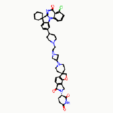 O=C1CC[C@H](N2Cc3c(ccc4c3OCC43CCN(C4CN(CCN5CCC(c6ccc7c(c6)-n6c(nc(=O)c8c(Cl)cccc86)C76CCCCC6)CC5)C4)CC3)C2=O)C(=O)N1